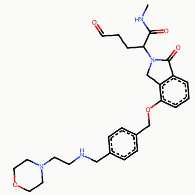 CNC(=O)C(CCC=O)N1Cc2c(OCc3ccc(CNCCN4CCOCC4)cc3)cccc2C1=O